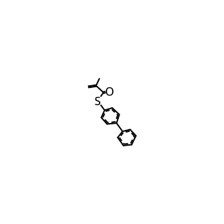 C=C(C)C(=O)Sc1ccc(-c2ccccc2)cc1